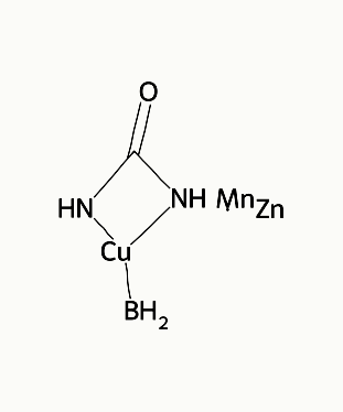 [BH2][Cu]1[NH]C(=O)[NH]1.[Mn].[Zn]